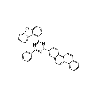 c1ccc(-c2nc(-c3ccc4c(ccc5c6ccccc6ccc45)c3)nc(-c3cccc4oc5ccccc5c34)n2)cc1